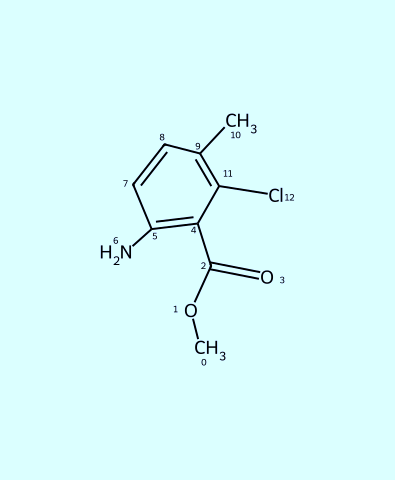 COC(=O)c1c(N)ccc(C)c1Cl